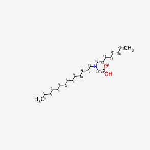 CCCCCCCCCCCCCCN(CCCCCCCC)CC(=O)O